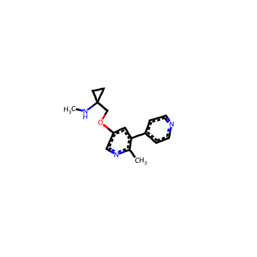 CNC1(COc2cnc(C)c(-c3ccncc3)c2)CC1